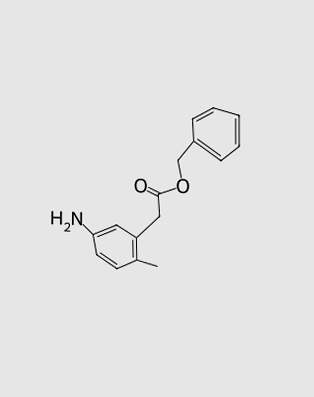 Cc1ccc(N)cc1CC(=O)OCc1ccccc1